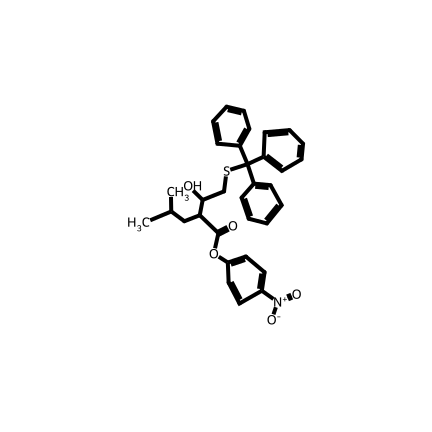 CC(C)CC(C(=O)Oc1ccc([N+](=O)[O-])cc1)C(O)CSC(c1ccccc1)(c1ccccc1)c1ccccc1